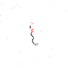 CC(C)CCCOC[O]